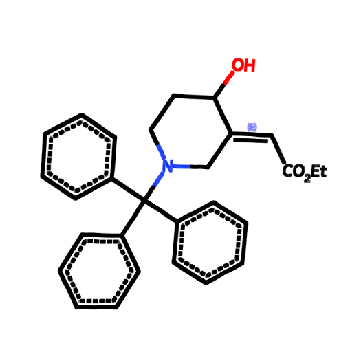 CCOC(=O)/C=C1\CN(C(c2ccccc2)(c2ccccc2)c2ccccc2)CCC1O